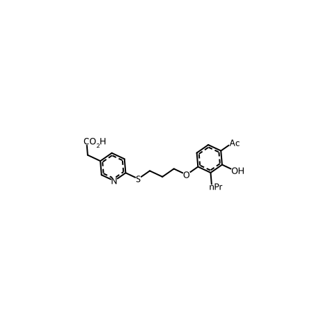 CCCc1c(OCCCSc2ccc(CC(=O)O)cn2)ccc(C(C)=O)c1O